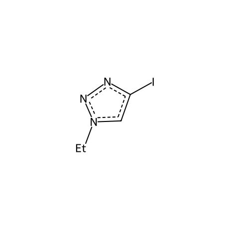 CCn1cc(I)nn1